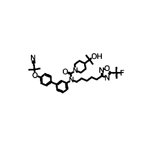 CC(C)(C#N)Oc1ccc(-c2cccc(N(CCCCCc3noc(C(C)(C)F)n3)C(=O)N3CCC(C(C)(C)O)CC3)c2)cc1